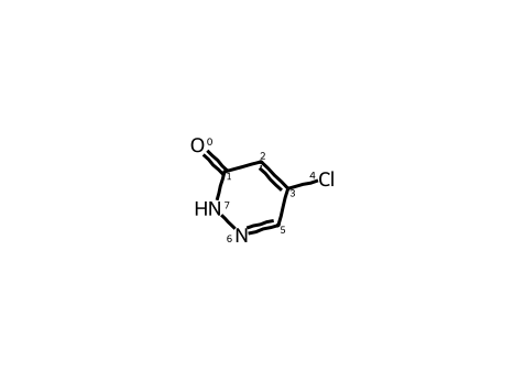 O=c1[c]c(Cl)cn[nH]1